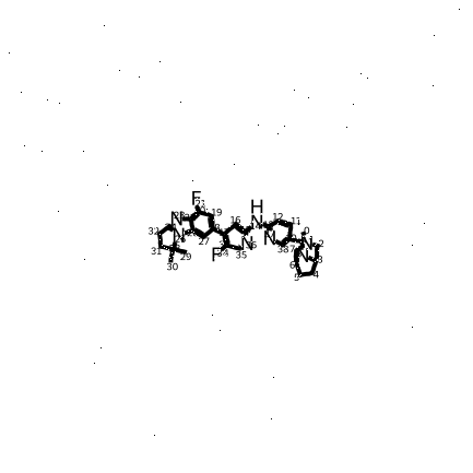 CN1CC2CCC(C1)N2Cc1ccc(Nc2cc(-c3cc(F)c4nc5n(c4c3)C(C)(C)CC5)c(F)cn2)nc1